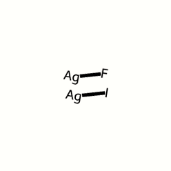 [Ag][I].[F][Ag]